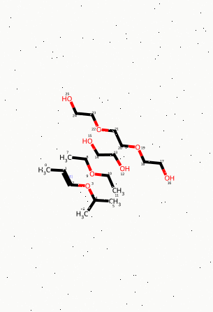 C/C=C/OC(C)C.CCOCC.OCCO.OCCOCCOCCO